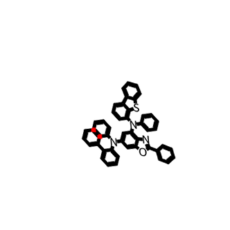 c1ccc(-c2nc3c(N(c4ccccc4)c4cccc5c4sc4ccccc45)cc(N(c4ccccc4)c4ccccc4-c4ccccc4)cc3o2)cc1